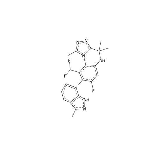 Cc1n[nH]c2c(-c3c(F)cc4c(c3C(F)F)-n3c(C)nnc3C(C)(C)N4)cccc12